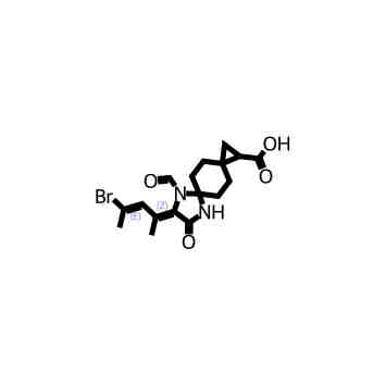 CC(/C=C(\C)Br)=C1\C(=O)NC2(CCC3(CC2)CC3C(=O)O)N1C=O